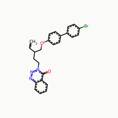 C=CC(CCn1nnc2ccccc2c1=O)COc1ccc(-c2ccc(Br)cc2)cc1